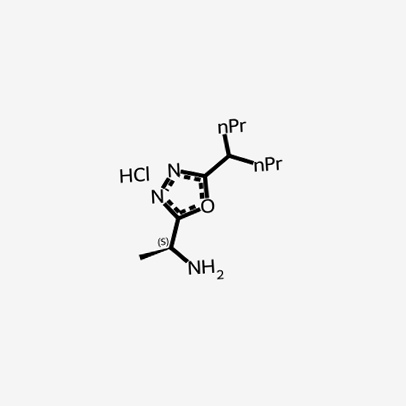 CCCC(CCC)c1nnc([C@H](C)N)o1.Cl